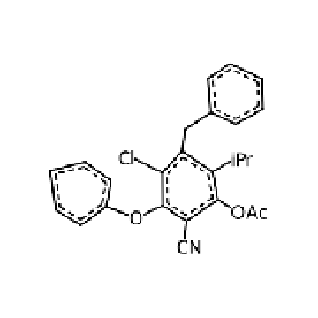 CC(=O)Oc1c(C#N)c(Oc2ccccc2)c(Cl)c(Cc2ccccc2)c1C(C)C